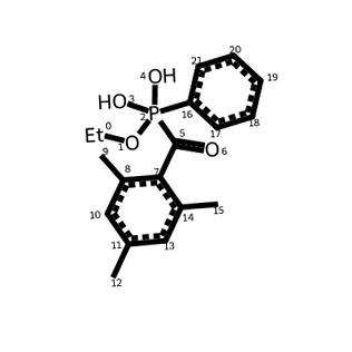 CCOP(O)(O)(C(=O)c1c(C)cc(C)cc1C)c1ccccc1